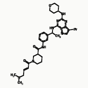 CC(C)c1cnn2c(NC(C)c3cccc(NC(=O)C4CCCN(C(=O)/C=C/CN(C)C)C4)c3)nc(NC3CCOCC3)nc12